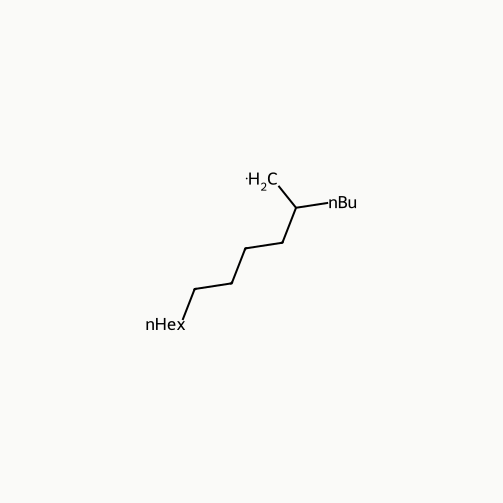 [CH2]C(CCCC)CCCCCCCCCC